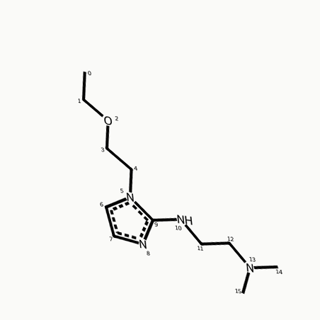 CCOCCn1ccnc1NCCN(C)C